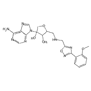 COc1ccccc1-c1noc(CNCC2OCC(O)(n3cnc4c(N)ncnc43)C2O)n1